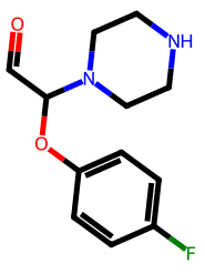 O=CC(Oc1ccc(F)cc1)N1CCNCC1